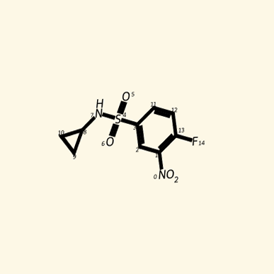 O=[N+]([O-])c1cc(S(=O)(=O)NC2CC2)ccc1F